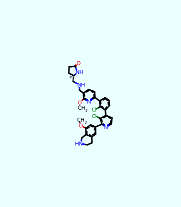 COc1cc(-c2nccc(-c3cccc(-c4ccc(CNC[C@H]5CCC(=O)N5)c(OC)n4)c3Cl)c2Cl)cc2c1CNCC2